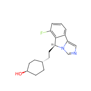 O[C@H]1CC[C@H](CC[C@H]2c3c(F)cccc3-c3cncn32)CC1